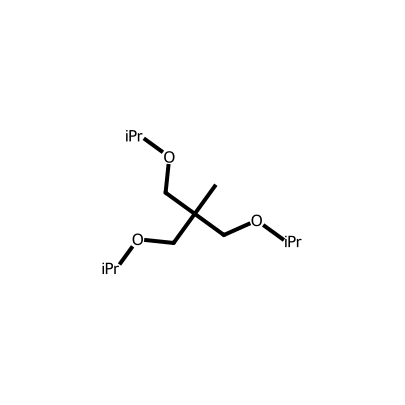 CC(C)OCC(C)(COC(C)C)COC(C)C